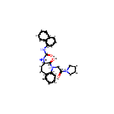 O=C(Nc1cccc2ccccc12)NC1CCc2ccccc2N(CC(=O)N2CCCC2)C1=O